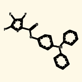 O=C(Oc1ccc([SH](c2ccccc2)c2ccccc2)cc1)c1sc(F)c(F)c1F